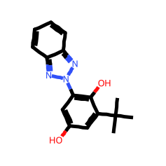 CC(C)(C)c1cc(O)cc(-n2nc3ccccc3n2)c1O